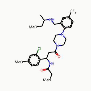 CNCC(=O)NC(CC(=O)N1CCN(c2ccc(C(F)(F)F)cc2CNC(C)COC)CC1)c1ccc(OC)cc1Cl